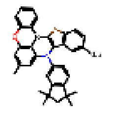 Cc1cc2c3c(c1)N(c1ccc4c(c1)C(C)(C)CC4(C)C)c1c(sc4ccc(C(C)(C)C)cc14)B3c1ccccc1O2